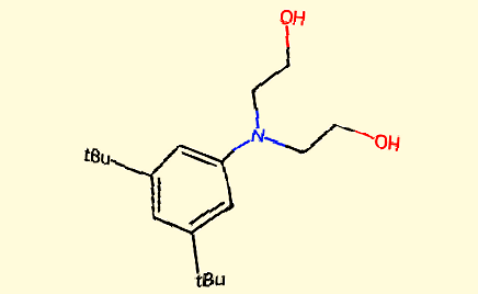 CC(C)(C)c1cc(N(CCO)CCO)cc(C(C)(C)C)c1